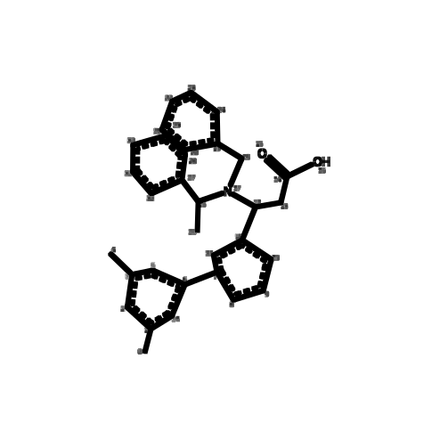 Cc1cc(C)cc(-c2cccc(C(CC(=O)O)N(Cc3ccccc3)C(C)c3ccccc3)c2)c1